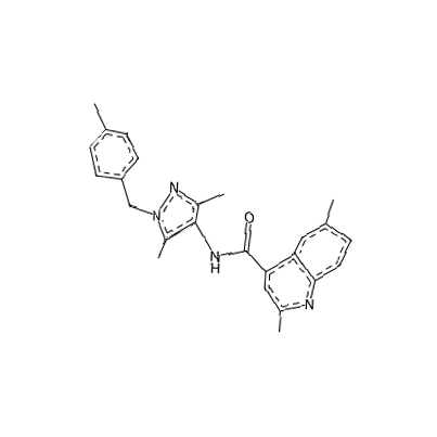 Cc1ccc(Cn2nc(C)c(NC(=O)c3cc(C)nc4ccc(C)cc34)c2C)cc1